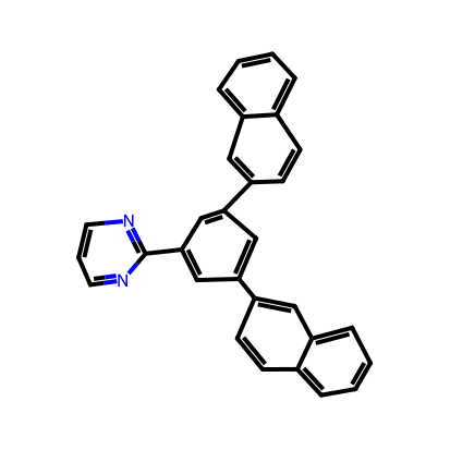 c1cnc(-c2cc(-c3ccc4ccccc4c3)cc(-c3ccc4ccccc4c3)c2)nc1